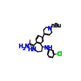 CCCCN1CC=C(c2ccc3c(c2)C(Nc2cccc(Cl)c2)CCN/C3=C(/C)N)CC1